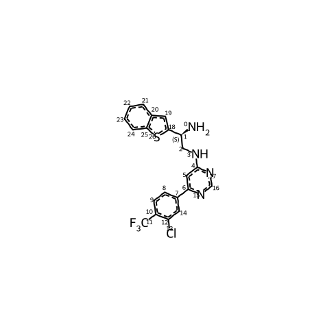 N[C@@H](CNc1cc(-c2ccc(C(F)(F)F)c(Cl)c2)ncn1)c1cc2ccccc2s1